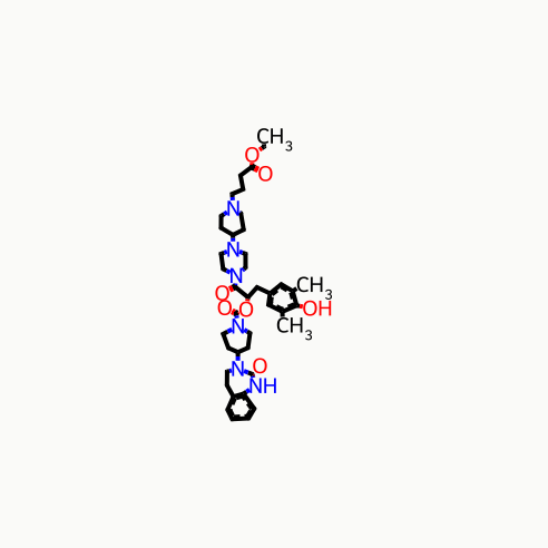 CCOC(=O)CCCN1CCC(N2CCN(C(=O)C(Cc3cc(C)c(O)c(C)c3)OC(=O)N3CCC(N4CCc5ccccc5NC4=O)CC3)CC2)CC1